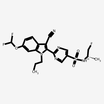 CCCn1c(-c2ncc(S(=O)(=O)N[C@@H](C)CF)cn2)c(C#N)c2ccc(OC(F)F)cc21